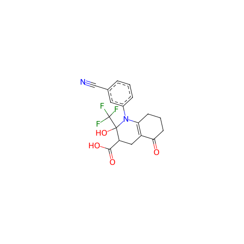 N#Cc1cccc(N2C3=C(CC(C(=O)O)C2(O)C(F)(F)F)C(=O)CCC3)c1